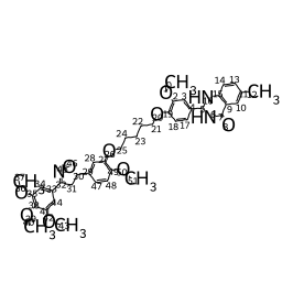 COc1cc(C2NC(=O)c3cc(C)ccc3N2)ccc1OCCCCCOc1cc(C2CC(c3cc(OC)c(OC)c(OC)c3)=NO2)ccc1OC